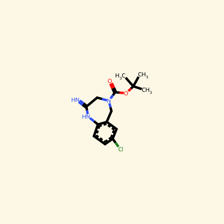 CC(C)(C)OC(=O)N1CC(=N)Nc2ccc(Cl)cc2C1